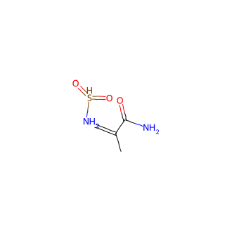 C=C(C)C(N)=O.N[SH](=O)=O